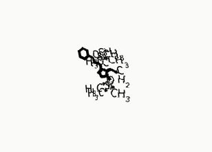 C=CCC1C(CCC(O[Si](C)(C)C(C)(C)C)C2CCCCC2)=CCC1O[Si](CC)(CC)CC